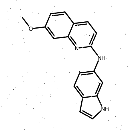 COc1ccc2ccc(Nc3ccc4cc[nH]c4c3)nc2c1